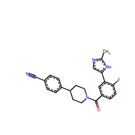 Cc1ncc(-c2cc(C(=O)N3CCC(c4ccc(C#N)cc4)CC3)ccc2F)[nH]1